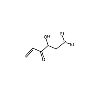 C=CC(=O)C(O)CP(CC)CC